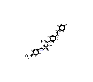 N=C(NS(=O)(=O)/C=C/c1ccc([N+](=O)[O-])cc1)c1ccc(/C=C/c2ccccc2)cc1